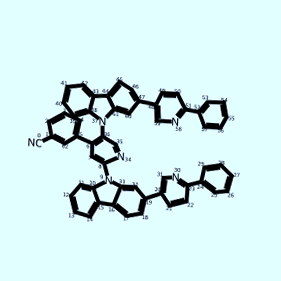 N#Cc1cccc(-c2cc(-n3c4ccccc4c4ccc(-c5ccc(-c6ccccc6)nc5)cc43)ncc2-n2c3ccccc3c3ccc(-c4ccc(-c5ccccc5)nc4)cc32)c1